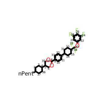 CCCCCC1CCC(C2COC(c3ccc(C4CCC(C(F)(F)Oc5cc(F)c(F)c(F)c5)CC4)cc3)OC2)CC1